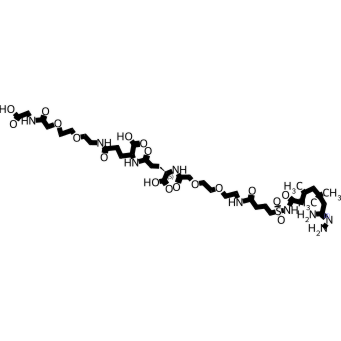 CC(CC(=O)NS(=O)(=O)CCCC(=O)NCCOCCOCC(=O)N[C@@H](CCC(=O)NC(CCC(=O)NCCOCCOCC(=O)NCC(=O)O)C(=O)O)C(=O)O)CC(C)(C)C/C(N)=N/N